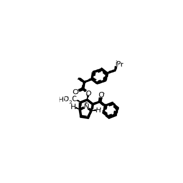 CC(C)Cc1ccc(C(C)C(=O)O[C@H]2C(C(=O)c3ccccc3)[C@@H]3CC[C@H]([C@H]2C(=O)O)N3C)cc1